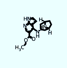 CCOC(=O)c1cnc2[nH]ccc2c1N[C@@H]1C[C@H]2CC[C@@H](C1)N2